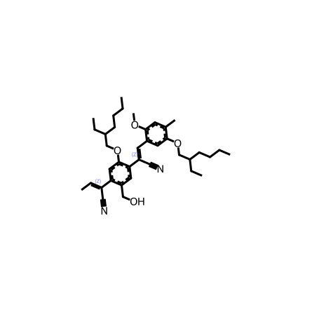 C/C=C(\C#N)c1cc(OCC(CC)CCCC)c(/C(C#N)=C/c2cc(OCC(CC)CCCC)c(C)cc2OC)cc1CO